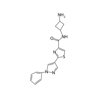 NC1CC(NC(=O)c2csc(-c3cnn(-c4ccccc4)c3)n2)C1